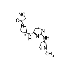 Cn1cc(Nc2nccc(N[C@H]3CCN(C(=O)CC#N)C3)n2)cn1